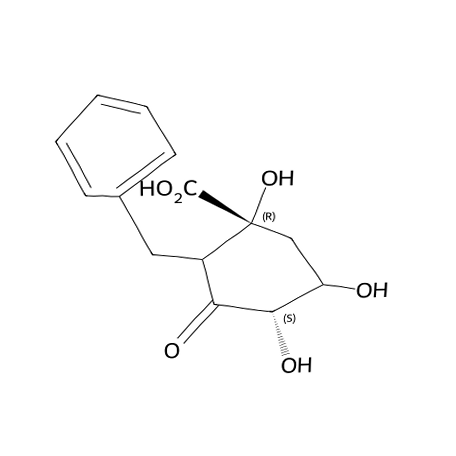 O=C1C(Cc2ccccc2)[C@@](O)(C(=O)O)CC(O)[C@@H]1O